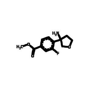 COC(=O)c1ccc(C2(N)CCOC2)c(F)c1